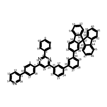 c1ccc(-c2nc(-c3ccc(-c4cccnc4)cc3)cc(-c3cccc(-c4cccc(-c5ccc6c(c5)C5(c7ccccc7-c7ccccc75)c5ccccc5-6)c4)c3)n2)cc1